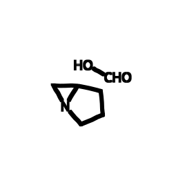 C1CC2CN2C1.O=CO